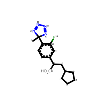 CC1(c2ccc(C(CC3CCCC3)C(=O)O)cc2F)N=NN=N1